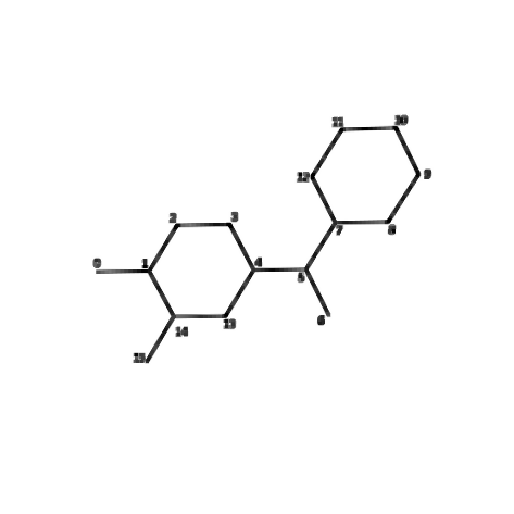 CC1CCC(C(C)C2CCCCC2)CC1C